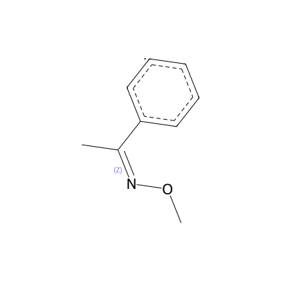 CO/N=C(/C)c1c[c]ccc1